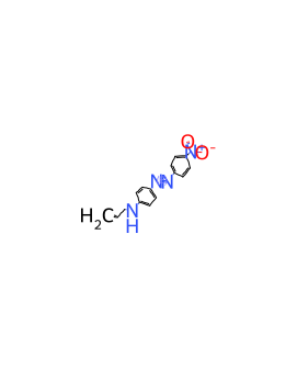 C=CCNc1ccc(/N=N/c2ccc([N+](=O)[O-])cc2)cc1